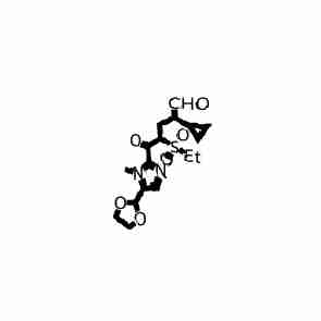 CCS(=O)(=O)C(CC(C=O)C1CC1)C(=O)c1ncc(C2OCCO2)n1C